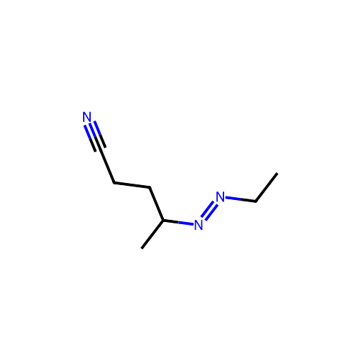 CCN=NC(C)CCC#N